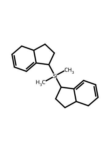 C[Si](C)(C1CCC2CC=CC=C21)C1CCC2CC=CC=C21